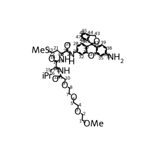 COCCOCCOCCOCC(=O)N[C@@H](CC(C)C)C(=O)N[C@@H](CCSC)C(=O)Nc1ccc2c(c1)Oc1cc(N)ccc1C21OCc2ccccc21